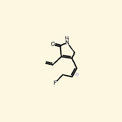 C=CC1=C(/C=C\CF)CNC1=O